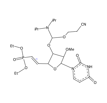 CCOP(=O)(/C=C/C1OC(n2ccc(=O)[nH]c2=O)C(OC)C1OC(OCCC#N)N(C(C)C)C(C)C)OCC